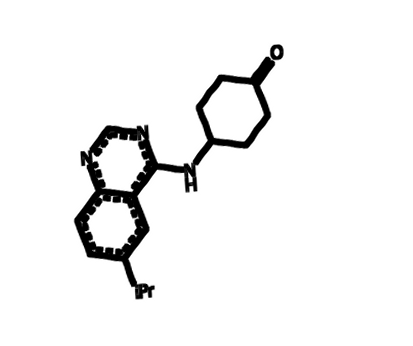 CC(C)c1ccc2ncnc(NC3CCC(=O)CC3)c2c1